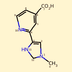 CN1C=C(c2cc(C(=O)O)ccn2)NC1